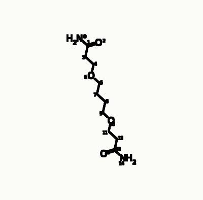 NC(=O)CCOCCCCOCCC(N)=O